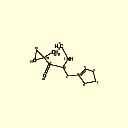 CNC(CC1=CCCC1)C(=O)C1(C)CO1